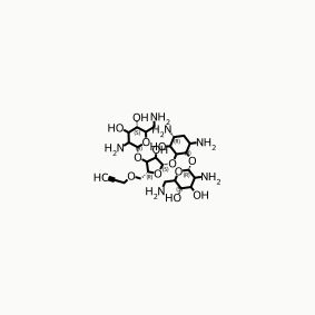 C#CCOC[C@H]1O[C@@H](OC2C(O)[C@H](N)CC(N)[C@H]2O[C@H]2OC(CN)[C@@H](O)C(O)C2N)C(O)C1O[C@H]1OC(CN)[C@@H](O)C(O)C1N